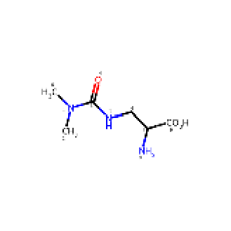 CN(C)C(=O)NCC(N)C(=O)O